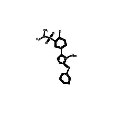 CCCCCCn1c(-c2ccc(Cl)c(S(=O)(=O)N(C)C)c2)csc1=Nc1ccccc1